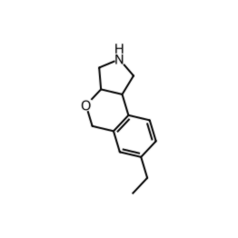 CCc1ccc2c(c1)COC1CNCC21